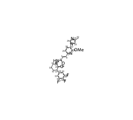 COc1nc(/C=C/C(=O)NN2CCCC(c3cc(F)c(F)c(F)c3)C2=O)ccc1-n1cnc(C)c1